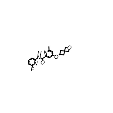 Cc1cc(OC2CC3(COC3)C2)cc(C(=O)Nc2cccc(F)n2)n1